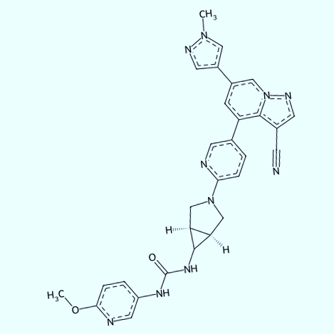 COc1ccc(NC(=O)NC2[C@H]3CN(c4ccc(-c5cc(-c6cnn(C)c6)cn6ncc(C#N)c56)cn4)C[C@@H]23)cn1